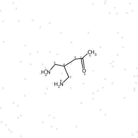 CC(=O)CC(CN)CN